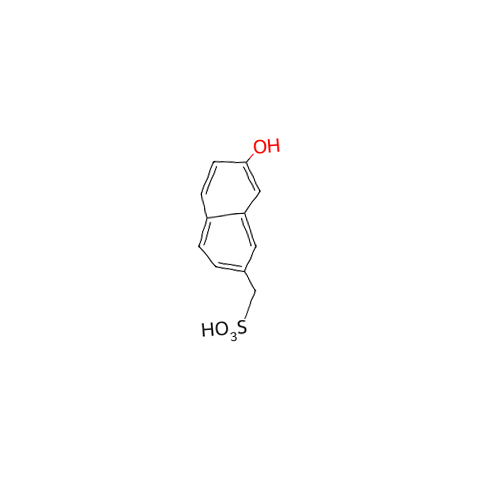 O=S(=O)(O)Cc1ccc2ccc(O)cc2c1